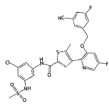 Cc1sc(C(=O)Nc2cc(Cl)cc(NS(C)(=O)=O)c2)cc1-c1ncc(F)cc1OCc1cc(F)cc(C#N)c1